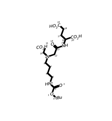 CC(C)(C)OC(=O)NCCCCN(CC(=O)O)CC(=O)NC(CCC(=O)O)C(=O)O